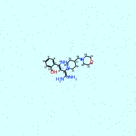 NC(N)=C(/C=C(\N)c1ccccc1O)N1CCC(CN2CCOCC2)CC1